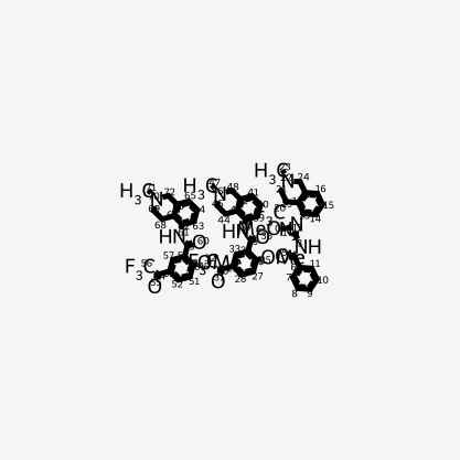 CON1C(NC(=O)c2ccccc2)N1c1cccc2c1C(C(F)(F)F)CN(C)C2.COc1ccc(C(=O)C(F)(F)F)cc1C(=O)Nc1cccc2c1CCN(C)C2.COc1ccc(C(=O)C(F)(F)F)cc1C(=O)Nc1cccc2c1CCN(C)C2